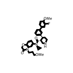 COCCCN1C(=O)COc2ccc(N(C(=O)[C@H]3CNCC[C@@H]3c3cccc(-c4ccc(OC)c(F)c4)c3)C3CC3)cc21